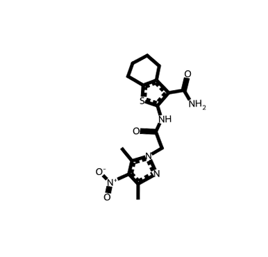 Cc1nn(CC(=O)Nc2sc3c(c2C(N)=O)CCCC3)c(C)c1[N+](=O)[O-]